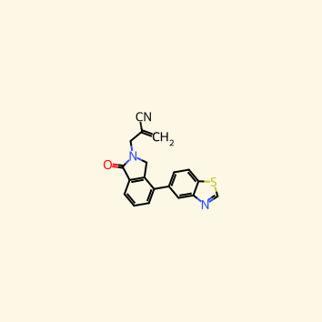 C=C(C#N)CN1Cc2c(cccc2-c2ccc3scnc3c2)C1=O